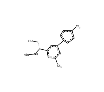 CCCCN[C@H](CO)c1cc(-c2ccc(C(F)(F)F)cc2)nc(C(F)(F)F)c1